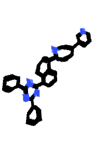 c1ccc(-c2nc(-c3ccccc3)nc(-c3cccc4c(-c5ccc(-c6cccnc6)cn5)cccc34)n2)cc1